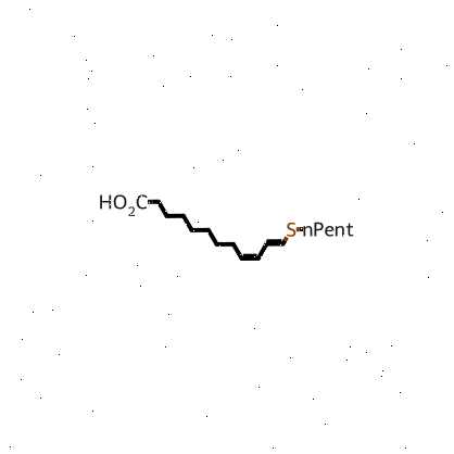 CCCCCS/C=C/C=C\CCCCCCCC(=O)O